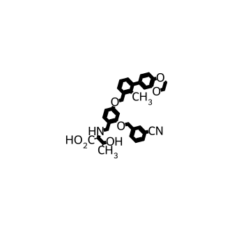 Cc1c(COc2ccc(CN[C@@H](C(=O)O)[C@@H](C)O)c(OCc3cccc(C#N)c3)c2)cccc1-c1ccc2c(c1)OCCO2